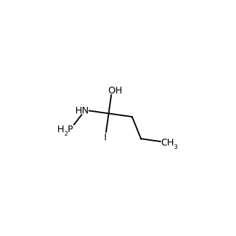 CCCC(O)(I)NP